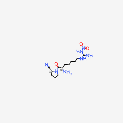 N#C[C@@H]1CCCN1C(=O)[C@@H](N)CCCCCNC(=N)N[N+](=O)[O-]